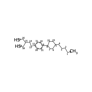 CCCCCC1CCC(c2ccc(CCC(CS)CS)cc2)CC1